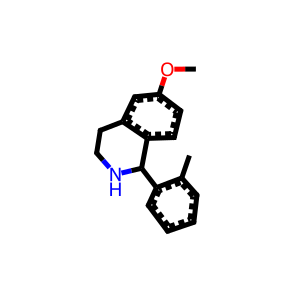 COc1ccc2c(c1)CCNC2c1ccccc1C